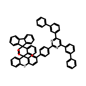 c1ccc(-c2cccc(-c3cc(-c4cccc(-c5ccccc5)c4)nc(-c4ccc(-c5ccc6c(c5)C5(c7ccccc7S6)c6ccccc6C6(c7ccccc7-c7ccccc76)c6ccccc65)cc4)n3)c2)cc1